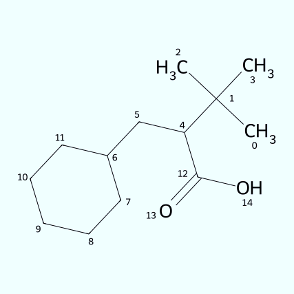 CC(C)(C)C(CC1CCCCC1)C(=O)O